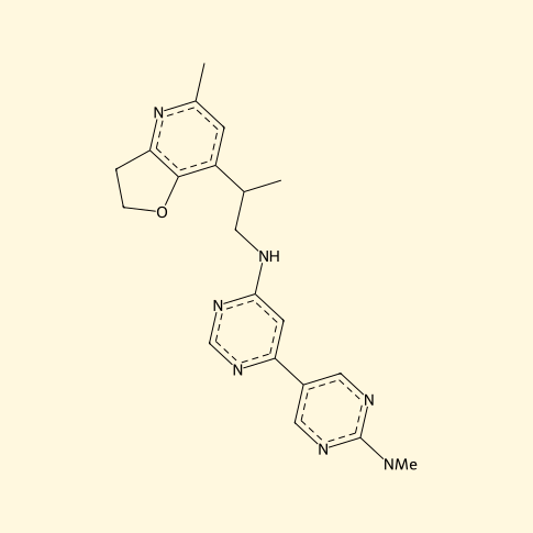 CNc1ncc(-c2cc(NCC(C)c3cc(C)nc4c3OCC4)ncn2)cn1